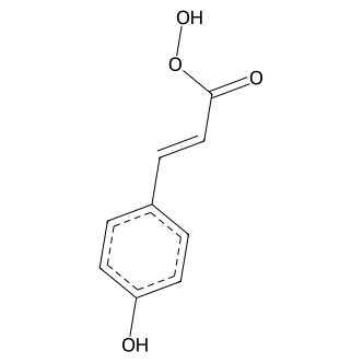 O=C(C=Cc1ccc(O)cc1)OO